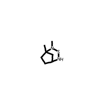 CN1SNC2CCC1(C)C2